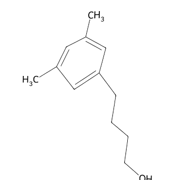 Cc1cc(C)cc(CCCCO)c1